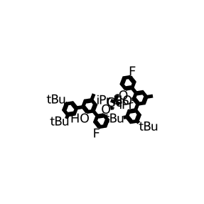 Cc1cc(-c2cc(C(C)(C)C)cc(C(C)(C)C)c2)c(O)c(-c2cc(F)ccc2O[CH2][Ge]([CH2]Oc2ccc(F)cc2-c2cc(C)cc(-c3cc(C(C)(C)C)cc(C(C)(C)C)c3)c2O)([CH](C)C)[CH](C)C)c1